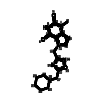 Cn1c(=O)[nH]c(=O)c2c1ncn2Cc1noc(CN2CCCCC2)n1